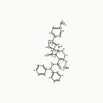 CC(=O)OCC1=C(C(=O)OC(c2ccccc2)c2ccccc2)N2C(=O)[C@@](N=Cc3ccc([N+](=O)[O-])cc3)(OC(F)(F)F)[C@H]2SC1